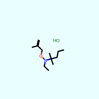 C=C(C)CON(CC)C(C)(C)CCC.Cl